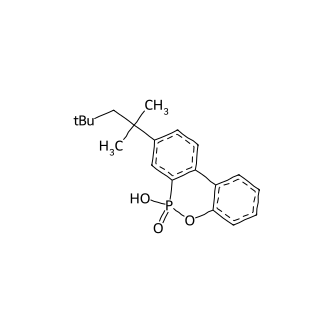 CC(C)(C)CC(C)(C)c1ccc2c(c1)P(=O)(O)Oc1ccccc1-2